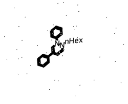 CCCCCCN1C=CC(c2ccccc2)=CN1c1ccccc1